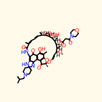 CO[C@H]1/C=C/O[C@@]2(C)Oc3c(C)c(O)c4c(c3C2=O)C2=NC3(CCN(CC(C)C)CC3)NC2=C(NC(=O)/C(C)=C\C=C\[C@H](C)[C@H](O)[C@@H](C)[C@@H](O)[C@@H](C)[C@H](OC(=O)CC(=O)N2CCOCC2)[C@@H]1C)C4=O